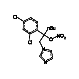 CCCCC(Cn1ccnc1)(O[N+](=O)[O-])c1ccc(Cl)cc1Cl